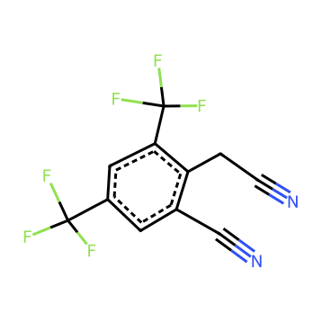 N#CCc1c(C#N)cc(C(F)(F)F)cc1C(F)(F)F